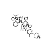 COc1cc(C2CCN(C)CC2)c(C)cc1Nc1ncc(Cl)c(Nc2ccccc2S(=O)(=O)C(C)C)n1